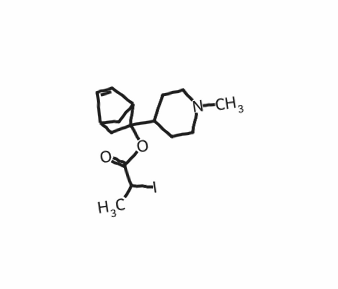 CC(I)C(=O)OC1(C2CCN(C)CC2)CC2C=CC1C2